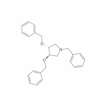 c1ccc(CO[C@@H]2CN(Cc3ccccc3)C[C@H]2OCc2ccccc2)cc1